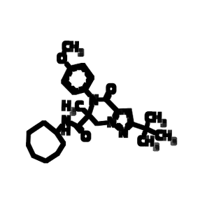 COc1ccc(N2C(=O)c3cc(C(C)(C)C)nn3CC2(C)C(=O)NC2CCCCCCC2)cc1